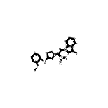 COc1ccccc1OC1CCN(C(Cn2cc(C)c3ccccc32)=S(=O)=O)C1